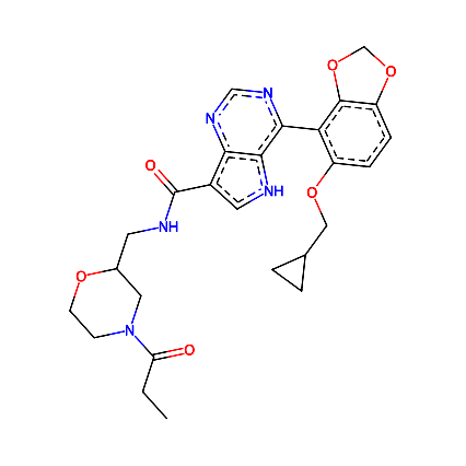 CCC(=O)N1CCOC(CNC(=O)c2c[nH]c3c(-c4c(OCC5CC5)ccc5c4OCO5)ncnc23)C1